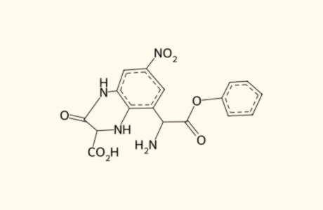 NC(C(=O)Oc1ccccc1)c1cc([N+](=O)[O-])cc2c1NC(C(=O)O)C(=O)N2